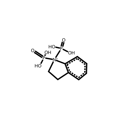 O=P(O)(O)[N+]1(P(=O)(O)O)CCc2ccccc21